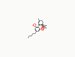 CCCCCc1cc(OC)c([C@@H]2C=C(C)CC[C@H]2C([13CH3])=O)c(OC)c1